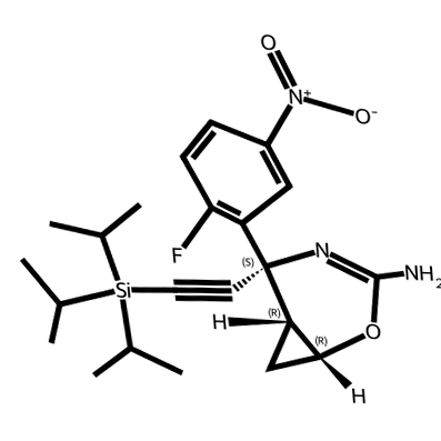 CC(C)[Si](C#C[C@]1(c2cc([N+](=O)[O-])ccc2F)N=C(N)O[C@@H]2C[C@@H]21)(C(C)C)C(C)C